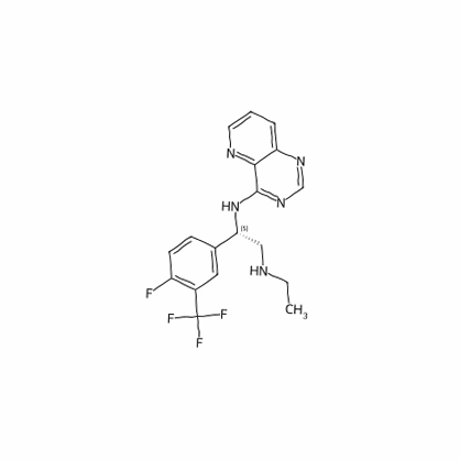 CCNC[C@@H](Nc1ncnc2cccnc12)c1ccc(F)c(C(F)(F)F)c1